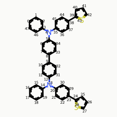 c1ccc(N(c2ccc(-c3ccc(N(c4ccccc4)c4ccc(-c5cccs5)cc4)cc3)cc2)c2ccc(-c3cccs3)cc2)cc1